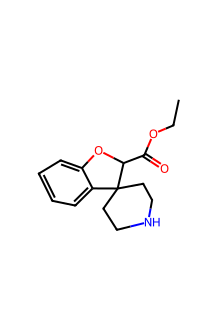 CCOC(=O)C1Oc2ccccc2C12CCNCC2